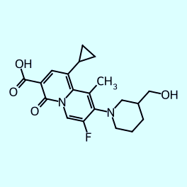 Cc1c(N2CCCC(CO)C2)c(F)cn2c(=O)c(C(=O)O)cc(C3CC3)c12